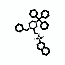 O=S(=O)(NCC1CN(C(c2ccccc2)(c2ccccc2)c2ccccc2)CCN1Cc1ccccc1)c1ccc2ccccc2c1